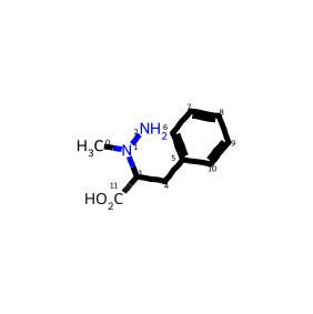 CN(N)C(Cc1ccccc1)C(=O)O